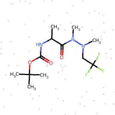 CC(NC(=O)OC(C)(C)C)C(=O)N(C)N(C)CC(F)(F)F